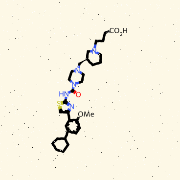 COc1ccc(C2CCCCC2)cc1-c1csc(NC(=O)N2CCN(C[C@@H]3CCCN(CCCC(=O)O)C3)CC2)n1